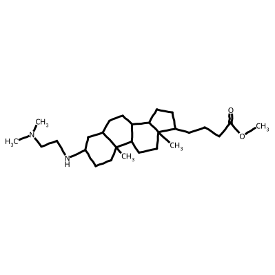 COC(=O)CCCC1CCC2C3CCC4CC(NCCN(C)C)CCC4(C)C3CCC12C